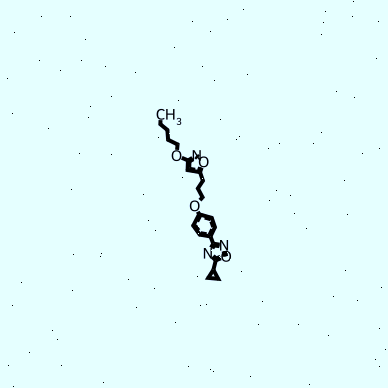 CCCCCOc1cc(CCCOc2ccc(-c3noc(C4CC4)n3)cc2)on1